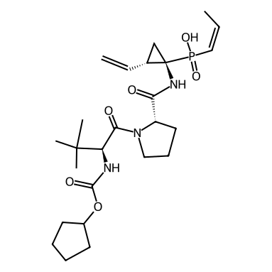 C=C[C@@H]1C[C@]1(NC(=O)[C@@H]1CCCN1C(=O)[C@@H](NC(=O)OC1CCCC1)C(C)(C)C)P(=O)(O)/C=C\C